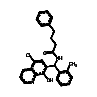 Cc1ccccc1C(NC(=O)CCCc1ccccc1)c1cc(Cl)c2cccnc2c1O